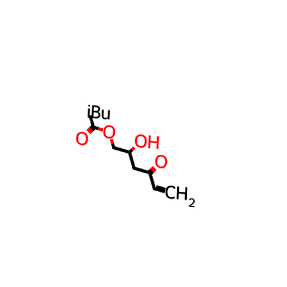 C=CC(=O)CC(O)COC(=O)C(C)CC